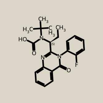 CC[C@@H](c1nc2ccccc2c(=O)n1-c1ccccc1F)N(C(=O)O)C(C)(C)C